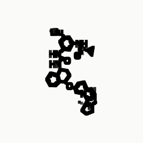 CN1CCC[C@@]1(C)c1nnc2ccc(O[C@@H]3CC[C@H](NC(=O)Nc4cc(N[S+]([O-])C5CC5)cc(C(C)(C)C)c4)c4ccccc43)cn12